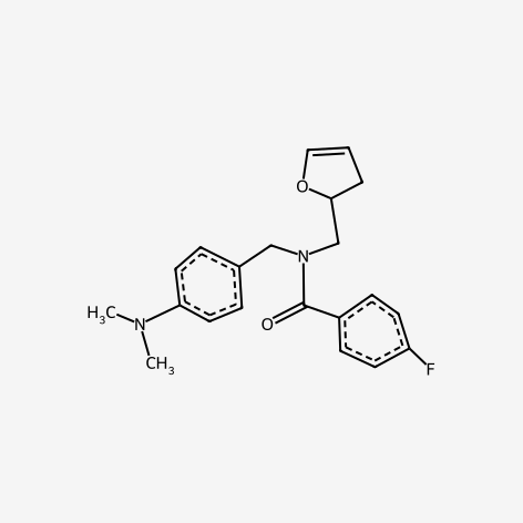 CN(C)c1ccc(CN(CC2CC=CO2)C(=O)c2ccc(F)cc2)cc1